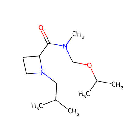 CC(C)CN1CCC1C(=O)N(C)COC(C)C